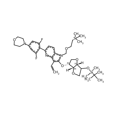 C=Cc1c(O[C@@H]2CO[C@@H]3C(O[Si](C)(C)C(C)(C)C)CO[C@@H]32)n(COCC[Si](C)(C)C)c2ccc(-c3c(F)cc(N4CCOCC4)cc3F)nc12